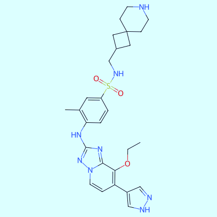 CCOc1c(-c2cn[nH]c2)ccn2nc(Nc3ccc(S(=O)(=O)NCC4CC5(CCNCC5)C4)cc3C)nc12